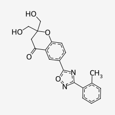 Cc1ccccc1-c1noc(-c2ccc3c(c2)C(=O)CC(CO)(CO)O3)n1